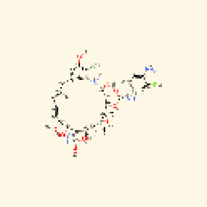 COc1cc2cc(c1Cl)N(C)C(=O)C[C@H](OC(=O)Nc1cc(F)c(N)cc1Cl)[C@]1(C)O[C@H]1[C@H](C)[C@@H]1C[C@@](O)(NC(=O)O1)[C@H](OC)/C=C/C=C(\C)C2